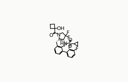 O=C(N1CC(F)(F)[C@H](NS(=O)(=O)C2CC2)[C@@H]1Cc1cccc(-c2cccc(F)c2F)c1F)C1(O)CCC1